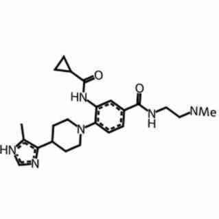 CNCCNC(=O)c1ccc(N2CCC(c3nc[nH]c3C)CC2)c(NC(=O)C2CC2)c1